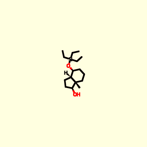 CC[Si](CC)(CC)O[C@H]1CCC[C@]2(C)[C@@H](O)CC[C@@H]12